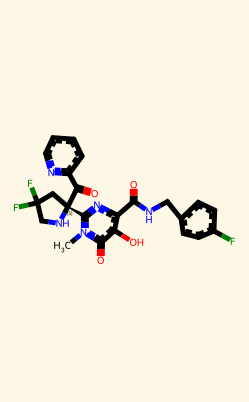 Cn1c([C@]2(C(=O)c3ccccn3)CC(F)(F)CN2)nc(C(=O)NCc2ccc(F)cc2)c(O)c1=O